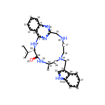 CC(C)[C@@H]1Nc2nc(nc3ccccc23)CNCCN(Cc2c[nH]c3ccccc23)C[C@@H](C)NC1=O